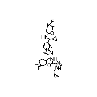 O=C(C[C@H]1CC1(F)F)NC(c1ccn2cc([C@@H](NC(=O)c3ncnn3CC3CC3)C3CCC(F)(F)CC3)nc2n1)C1CC1